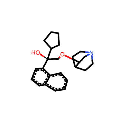 O[C@@](COC1CN2CCC1CC2)(c1cccc2ccccc12)C1CCCC1